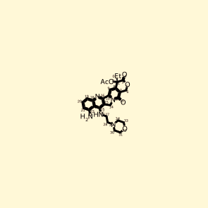 CC[C@@]1(OC(C)=O)C(=O)OCc2c1cc1n(c2=O)Cc2c-1nc1cccc(N)c1c2NCCN1CCOCC1